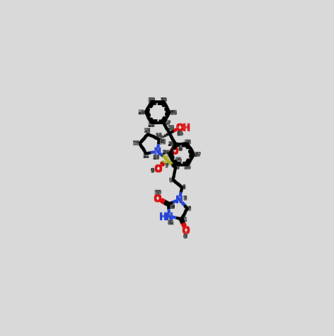 O=C1CN(CCCS(=O)(=O)N2CCC[C@@H]2C(O)(c2ccccc2)c2ccccc2)C(=O)N1